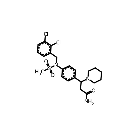 CS(=O)(=O)N(Cc1cccc(Cl)c1Cl)c1ccc(C(CC(N)=O)N2CCCCC2)cc1